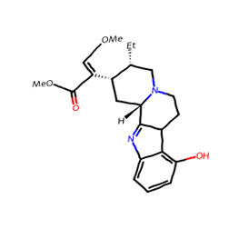 CC[C@@H]1CN2CCC3C(=Nc4cccc(O)c43)[C@@H]2C[C@@H]1/C(=C\OC)C(=O)OC